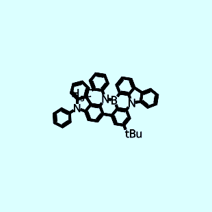 Cc1ccccc1N1B2c3c(cc(C(C)(C)C)cc3-n3c4ccccc4c4cccc2c43)-c2ccc3c(c21)c1ccccc1n3-c1ccccc1